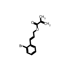 C=C(C)C(=O)OCC=Cc1ccccc1Br